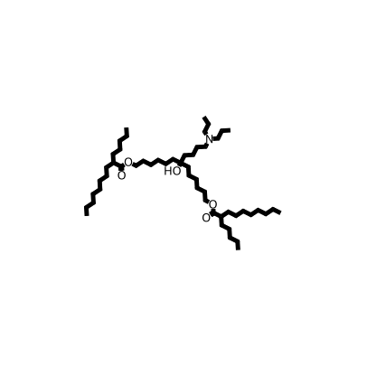 CCCCCCCCC(CCCCC)C(=O)OCCCCCCC(O)(CCCCCCOC(=O)C(CCCCC)CCCCCCCC)CCCCN(CCC)CCC